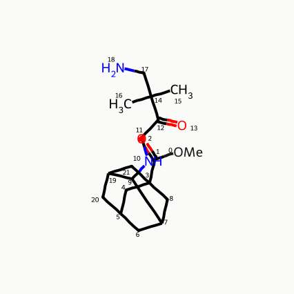 COC(=O)C12CC3CC(C1)C(NCC(=O)C(C)(C)CN)C(C3)C2